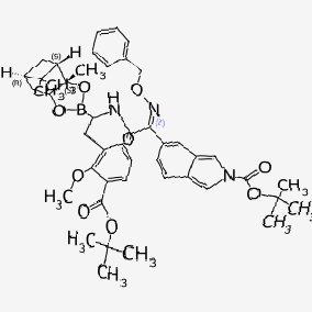 COc1c(CC(NC(=O)/C(=N\OCc2ccccc2)c2ccc3cn(C(=O)OC(C)(C)C)cc3c2)B2OC3C[C@H]4C[C@@H](C4(C)C)[C@]3(C)O2)cccc1C(=O)OC(C)(C)C